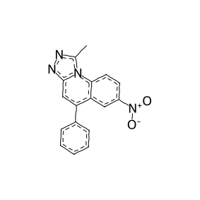 Cc1nnc2cc(-c3ccccc3)c3cc([N+](=O)[O-])ccc3n12